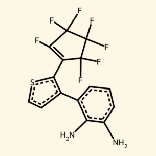 Nc1cccc(-c2ccsc2C2=C(F)C(F)(F)C(F)(F)C2(F)F)c1N